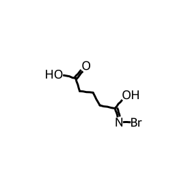 O=C(O)CCCC(O)=NBr